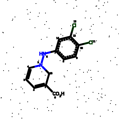 O=C(O)C1=CC=CN(Nc2ccc(Cl)c(Cl)c2)C1